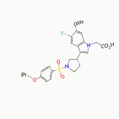 COc1cc2c(cc1F)c(C1CCN(S(=O)(=O)c3ccc(OC(C)C)cc3)C1)cn2CC(=O)O